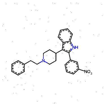 O=[N+]([O-])c1cccc(-c2[nH]c3ccccc3c2C2CCN(CCc3ccccc3)CC2)c1